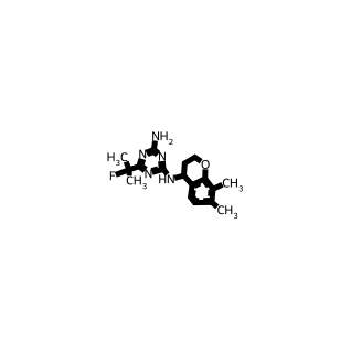 Cc1ccc2c(c1C)OCCC2Nc1nc(N)nc(C(C)(C)F)n1